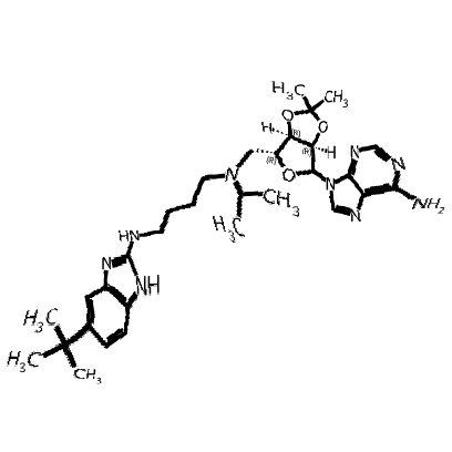 CC(C)N(CCCCNc1nc2cc(C(C)(C)C)ccc2[nH]1)C[C@H]1OC(n2cnc3c(N)ncnc32)[C@@H]2OC(C)(C)O[C@H]12